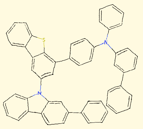 c1ccc(-c2cccc(N(c3ccccc3)c3ccc(-c4cc(-n5c6ccccc6c6ccc(-c7ccccc7)cc65)cc5c4sc4ccccc45)cc3)c2)cc1